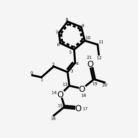 CCC/C(=C\c1ccccc1CC)C(OC(C)=O)OC(C)=O